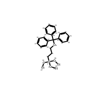 CCO[Si](CCCOC(c1ccccc1)(c1ccccc1)c1ccccc1)(OCC)OCC